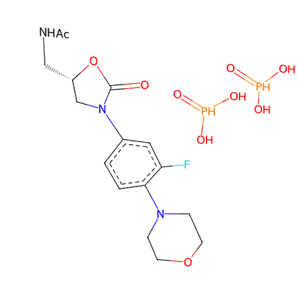 CC(=O)NC[C@H]1CN(c2ccc(N3CCOCC3)c(F)c2)C(=O)O1.O=[PH](O)O.O=[PH](O)O